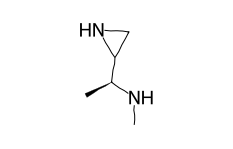 CN[C@@H](C)C1CN1